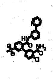 CS(=O)(=O)c1ccc(C(=O)Nc2cccc(-c3ccccn3)c2)c(-c2ccc(Cl)c(C(N)=O)c2)c1